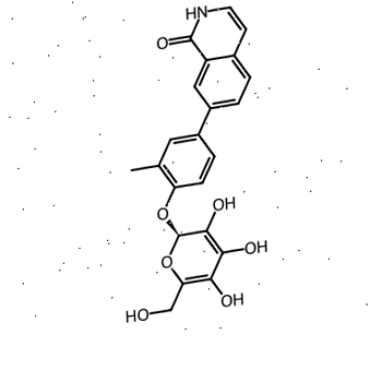 Cc1cc(-c2ccc3cc[nH]c(=O)c3c2)ccc1O[C@@H]1OC(CO)=C(O)C(O)=C1O